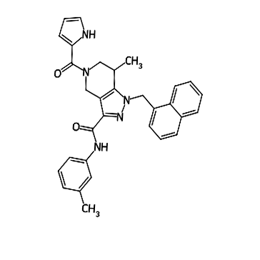 Cc1cccc(NC(=O)c2nn(Cc3cccc4ccccc34)c3c2CN(C(=O)c2ccc[nH]2)CC3C)c1